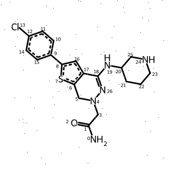 NC(=O)CN1Cc2sc(-c3ccc(Cl)cc3)cc2C(NC2CCCNC2)=N1